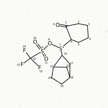 O=C1CCCCC1[S+](OS(=O)(=O)C(F)(F)F)C1CC2CCC1C2